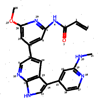 C=CC(=O)Nc1cc(-c2cnc3[nH]cc(-c4ccnc(NC)c4)c3c2)cc(OC)n1